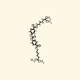 CC(C)CCCCCOC(=O)c1ccc(OC(=O)Oc2ccc(C(=O)OCCCCCC(C)C)cc2)cc1